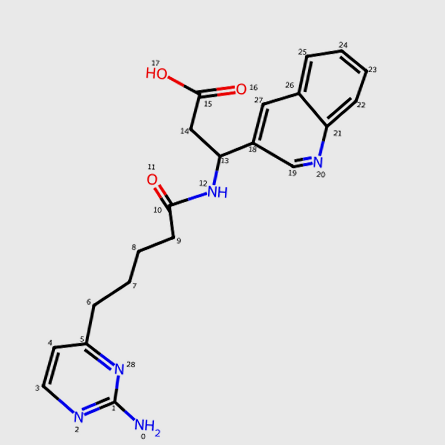 Nc1nccc(CCCCC(=O)NC(CC(=O)O)c2cnc3ccccc3c2)n1